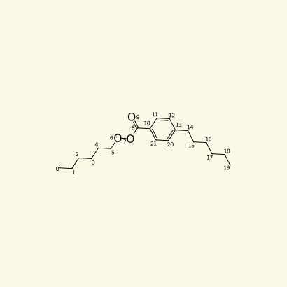 [CH2]CCCCCOOC(=O)c1ccc(CCCCCC)cc1